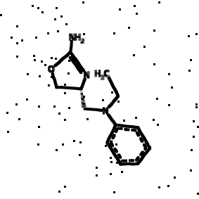 CCN(C[C@@H]1COC(N)=N1)c1ccccc1